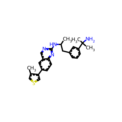 Cc1cscc1-c1ccc2nc(NC(C)Cc3cccc(C(C)(C)N)c3)ncc2c1